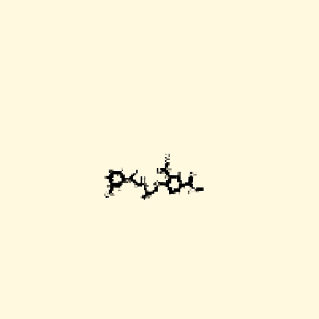 COC(=O)c1ccc(OCC(C)NCC(O)c2cccc(Cl)c2)c(C(=O)OC)c1